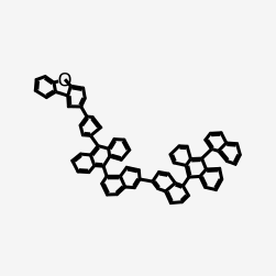 c1cc(-c2c3ccccc3c(-c3ccc(-c4ccc5oc6ccccc6c5c4)cc3)c3ccccc23)c2ccc(-c3ccc4c(-c5c6ccccc6c(-c6cccc7ccccc67)c6ccccc56)cccc4c3)cc2c1